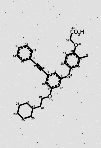 Cc1cc(Sc2cc(C#Cc3ccccc3)cc(OCCC3CCCCC3)c2)ccc1OCC(=O)O